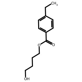 CCc1ccc(C(=O)OCCCCO)cc1